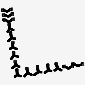 CC(C)=O.CC(C)=O.CC(C)=O.CC(C)=O.CC(C)=O.CC(C)=O.CC(C)=O.CC(C)=O.CC(C)=O.CC(C)=O.ClCCl.ClCCl.ClCCl.ClCCl.ClCCl